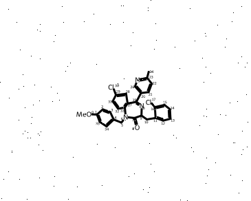 COc1ccc(CN2C(=O)C(Cc3ccccc3Cl)N=C(c3ccc(C)nc3)c3cc(Cl)ccc32)cc1